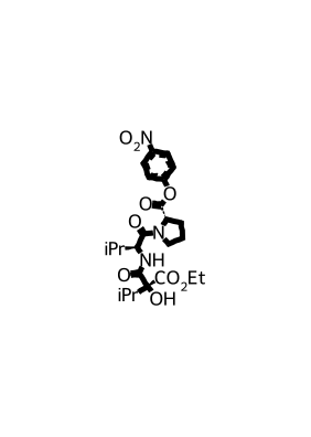 CCOC(=O)[C@](O)(C(=O)N[C@H](C(=O)N1CCC[C@H]1C(=O)Oc1ccc([N+](=O)[O-])cc1)C(C)C)C(C)C